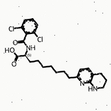 O=C(N[C@@H](CCCCCCCc1ccc2c(n1)NCCC2)C(=O)O)c1c(Cl)cccc1Cl